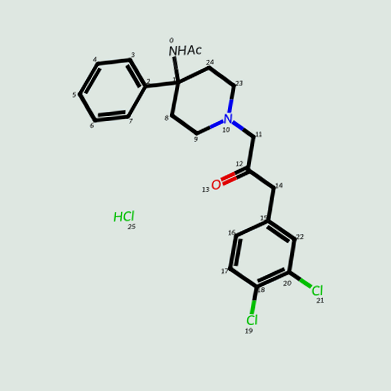 CC(=O)NC1(c2ccccc2)CCN(CC(=O)Cc2ccc(Cl)c(Cl)c2)CC1.Cl